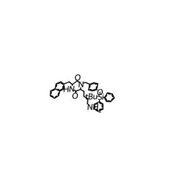 CC(C)(C)[Si](Oc1ccc(CN2C(=O)C(Cc3ccc4ccccc4c3)NC(=O)C2CCCCN)cc1)(c1ccccc1)c1ccccc1